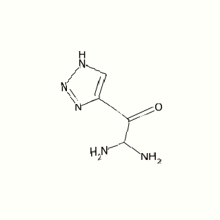 NC(N)C(=O)c1c[nH]nn1